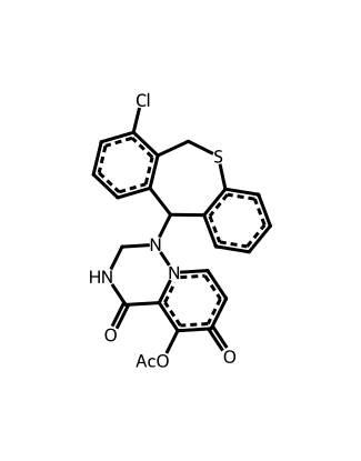 CC(=O)Oc1c2n(ccc1=O)N(C1c3ccccc3SCc3c(Cl)cccc31)CNC2=O